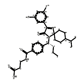 CCC[C@H](c1ccc(C(=O)NCCC(=O)O)cc1)N1C(=O)C(c2cc(F)cc(F)c2)=NC12CCC(C(C)C)CC2